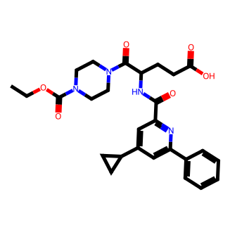 CCOC(=O)N1CCN(C(=O)C(CCC(=O)O)NC(=O)c2cc(C3CC3)cc(-c3ccccc3)n2)CC1